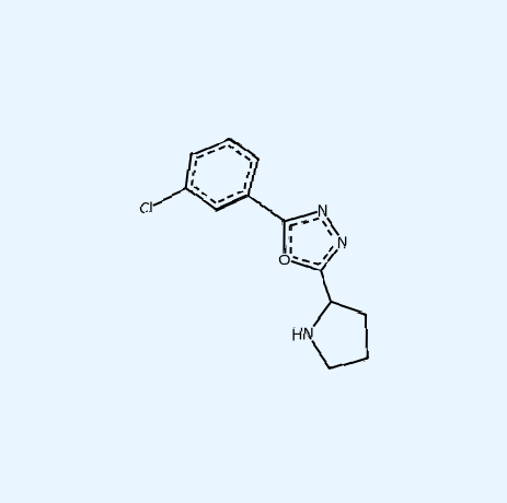 Clc1cccc(-c2nnc(C3CCCN3)o2)c1